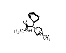 CNC(=O)C(c1ccccc1)N1CCN(C)CC1